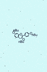 CCCCOC1=C(c2ccc(OCCCC)cc2)Oc2cc(OCCCC)ccc2C1